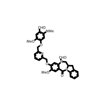 CNc1cc(OCc2cccc(COc3cc4c(cc3OC)C(=O)N3c5ccccc5CC3CN4C=O)n2)c(OC)cc1C=O